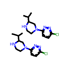 CC(C)C1CN(c2ccc(Cl)nn2)CCN1.CC(C)C1CN(c2ccc(Cl)nn2)CCN1